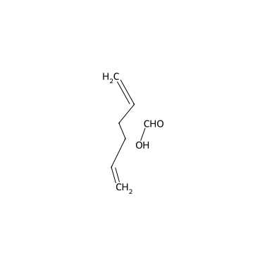 C=CCCC=C.O=CO